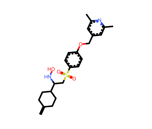 C=C1CCC(C(CS(=O)(=O)c2ccc(OCc3cc(C)nc(C)c3)cc2)NO)CC1